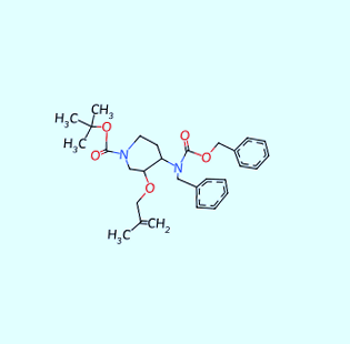 C=C(C)COC1CN(C(=O)OC(C)(C)C)CCC1N(Cc1ccccc1)C(=O)OCc1ccccc1